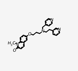 Cn1c(=O)ccc2cc(OCCCN(CCc3cccnc3)Cc3ccncc3)ccc21